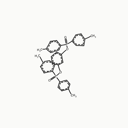 Cc1ccc(P(=O)(Oc2cccc(OP(=O)(c3ccc(C)cc3)c3ccc(C)cc3)c2)c2ccc(C)cc2)cc1